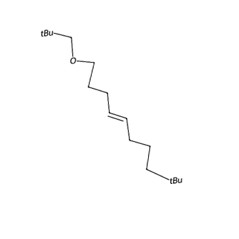 CC(C)(C)CCCC=CCCCOCC(C)(C)C